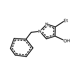 CCc1nn(Cc2ccccc2)cc1O